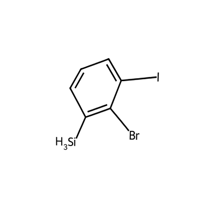 [SiH3]c1cccc(I)c1Br